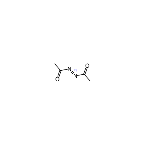 CC(=O)/N=N/C(C)=O